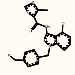 Cc1ncsc1C(=O)Nc1nn(Cc2ccc(CF)cc2)c2cccc(Cl)c12